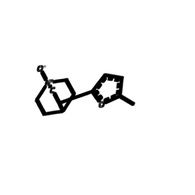 Cc1ccc(C2C[N+]3([O-])CCC2CC3)o1